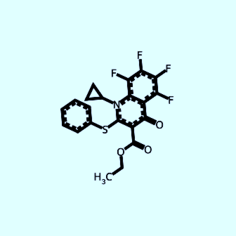 CCOC(=O)c1c(Sc2ccccc2)n(C2CC2)c2c(F)c(F)c(F)c(F)c2c1=O